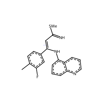 CSC(=N)/C=C(\Nc1cccc2ncccc12)c1ccc(C)c(F)c1